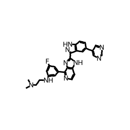 CN(C)CCNc1cc(F)cc(-c2nccc3[nH]c(-c4n[nH]c5ccc(-c6cncnc6)cc45)nc23)c1